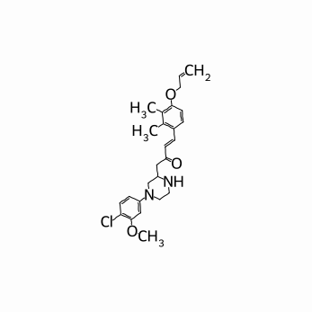 C=CCOc1ccc(/C=C/C(=O)CC2CN(c3ccc(Cl)c(OC)c3)CCN2)c(C)c1C